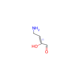 NC/C=C(\O)C=O